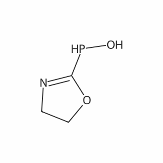 OPC1=NCCO1